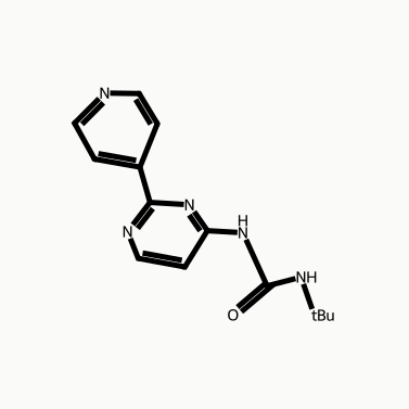 CC(C)(C)NC(=O)Nc1ccnc(-c2ccncc2)n1